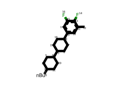 CCCCC1CCC(C2CCC(c3cc(C)c(F)c(F)c3)CC2)CC1